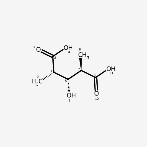 C[C@H](C(=O)O)[C@@H](O)[C@@H](C)C(=O)O